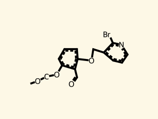 COCOc1cccc(OCc2cccnc2Br)c1C=O